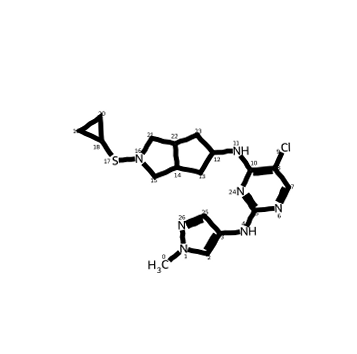 Cn1cc(Nc2ncc(Cl)c(NC3CC4CN(SC5CC5)CC4C3)n2)cn1